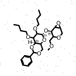 CCCCOC1C(OCCCC)[C@@H]2OC(c3ccccc3)OCC2O[C@H]1O[C@@H]1C(COC)OCC2OC21